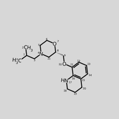 CC(C)CN1CCO[C@H](COc2cccc3c2NCCC3)C1